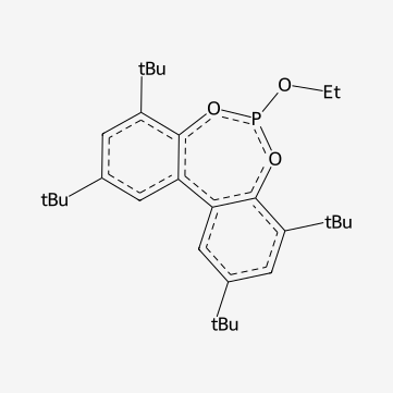 CCOp1oc2c(C(C)(C)C)cc(C(C)(C)C)cc2c2cc(C(C)(C)C)cc(C(C)(C)C)c2o1